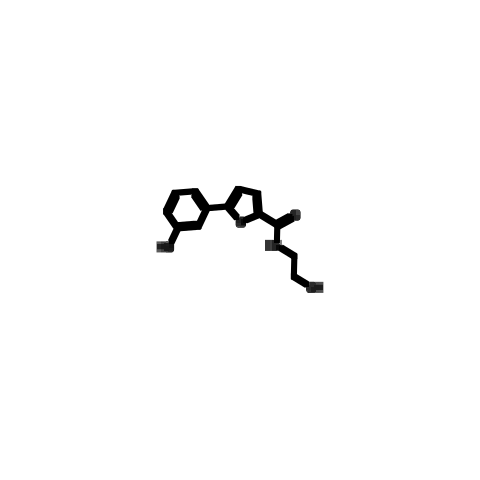 O=C(NCCO)c1ccc(-c2cccc(O)c2)o1